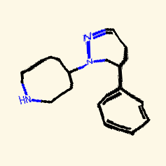 C1=NN(C2CCNCC2)C(c2ccccc2)C1